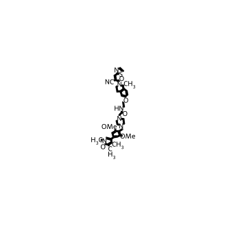 COc1cc(-c2cn(C)c(=O)c(C)c2C)cc(OC)c1CN1CCN(CC(=O)NCCOc2ccc3c(c2)CCN(C(=O)/C(C#N)=C\c2nccs2)C3C)CC1